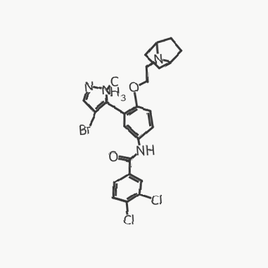 Cn1ncc(Br)c1-c1cc(NC(=O)c2ccc(Cl)c(Cl)c2)ccc1OCCN1C2CCC1CC2